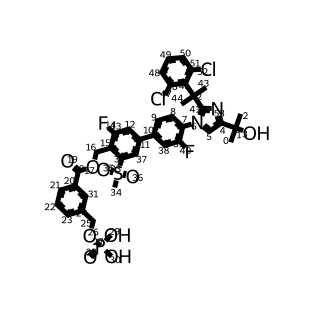 CC(C)(O)c1cn(-c2ccc(-c3cc(F)c(COC(=O)c4cccc(COP(=O)(O)O)c4)c(S(C)(=O)=O)c3)cc2F)c(C(C)(C)c2c(Cl)cccc2Cl)n1